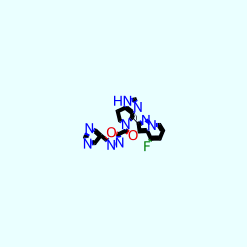 O=C(c1nnc(-c2cncnc2)o1)N1CCc2[nH]cnc2[C@@H]1c1cc2c(F)cccn2n1